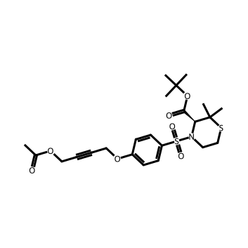 CC(=O)OCC#CCOc1ccc(S(=O)(=O)N2CCSC(C)(C)[C@@H]2C(=O)OC(C)(C)C)cc1